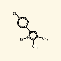 FC(F)(F)c1cc(-c2ccc(Cl)cc2)n(Br)c1C(F)(F)F